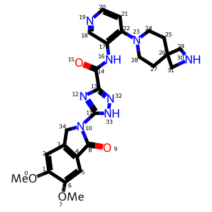 COc1cc2c(cc1OC)C(=O)N(c1nc(C(=O)Nc3cnccc3N3CCC4(CC3)CNC4)n[nH]1)C2